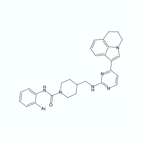 CC(=O)c1ccccc1NC(=O)N1CCC(CNc2nccc(-c3cn4c5c(cccc35)CCC4)n2)CC1